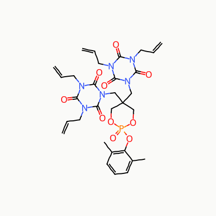 C=CCn1c(=O)n(CC=C)c(=O)n(CC2(Cn3c(=O)n(CC=C)c(=O)n(CC=C)c3=O)COP(=O)(Oc3c(C)cccc3C)OC2)c1=O